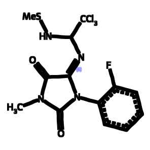 CSNC(/N=C1\C(=O)N(C)C(=O)N1c1ccccc1F)C(Cl)(Cl)Cl